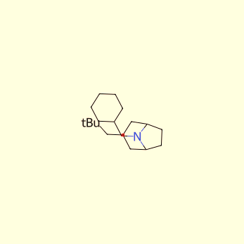 CC(C)(C)CC1CC2CCC(C1)N2CC1CCCCC1